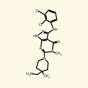 Cn1c(N2CCC(C)(CN)CC2)nc2[nH]nc(Nc3cccc(Cl)c3Cl)c2c1=O